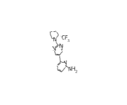 Nc1cccc(-c2cnc(N3CCC[C@@H]3C(F)(F)F)nc2)n1